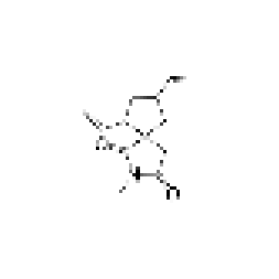 C=CC1CC(C=C)C2(CC(=O)N(C)C2=O)C1